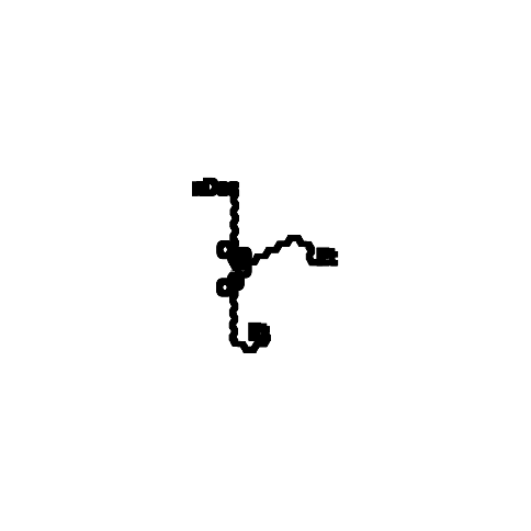 CC/C=C\C/C=C\C/C=C\CCCCCCCC(=O)OC[C@H](COC(=O)CCCCCCCCCCCCCCCCCCC)OC(=O)CCCCCCC/C=C\C/C=C\C/C=C\CC